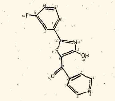 O=C(c1ccncc1)c1sc(-c2cccc(F)c2)nc1O